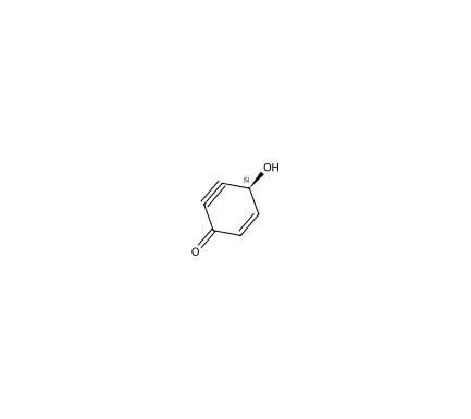 O=C1C#C[C@@H](O)C=C1